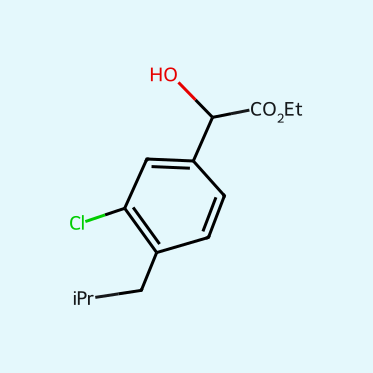 CCOC(=O)C(O)c1ccc(CC(C)C)c(Cl)c1